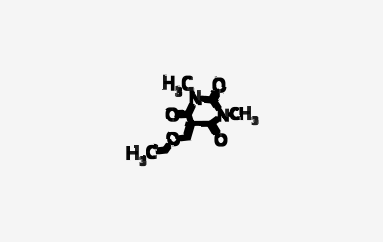 CCOC=C1C(=O)N(C)C(=O)N(C)C1=O